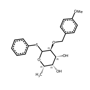 COc1ccc(CO[C@@H]2C(Sc3ccccc3)O[C@@H](C)[C@@H](O)[C@H]2O)cc1